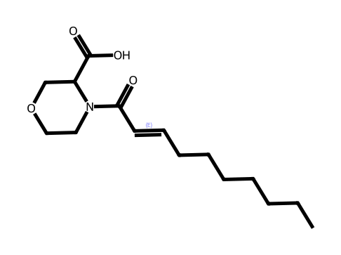 CCCCCCC/C=C/C(=O)N1CCOCC1C(=O)O